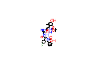 Cc1cc(O)cc(C)c1C(CC(=O)NC(C)(C)CNC(=O)C(CN(Cc1ccccc1)C(=O)O)c1ccc(F)cc1)NC(=O)OC(C)(C)C